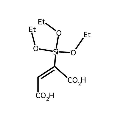 CCO[Si](OCC)(OCC)/C(=C/C(=O)O)C(=O)O